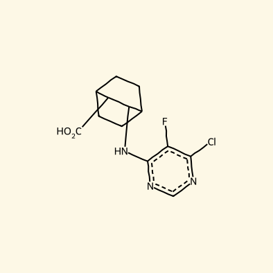 O=C(O)C1C2CCC(CC2)C1Nc1ncnc(Cl)c1F